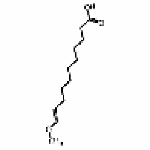 COC=CCCCCCCCCC(=O)O